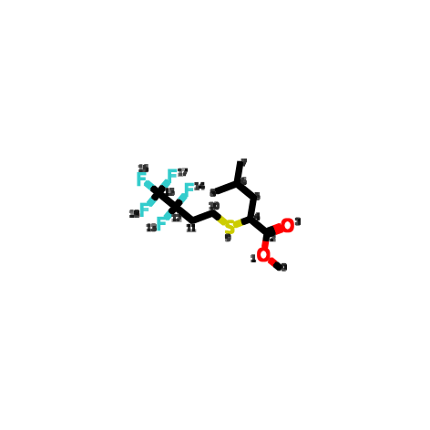 COC(=O)C(CC(C)C)SCCC(F)(F)C(F)(F)F